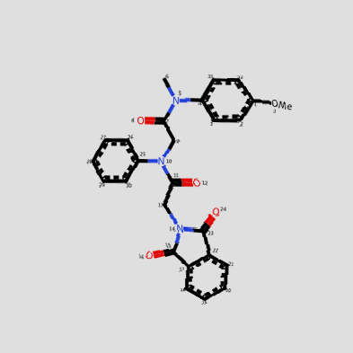 COc1ccc(N(C)C(=O)CN(C(=O)CN2C(=O)c3ccccc3C2=O)c2ccccc2)cc1